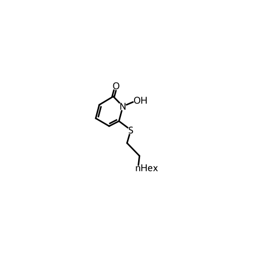 CCCCCCCCSc1cccc(=O)n1O